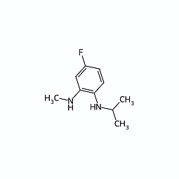 CNc1cc(F)ccc1NC(C)C